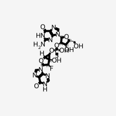 Nc1nc2c(ncn2[C@@H]2O[C@H](CO)[C@@H](O)[C@H]2OP(O)(=S)OC2[C@H]3O[C@@H](n4cnc5c(=O)[nH]cnc54)[C@H](F)[C@@]23O)c(=O)[nH]1